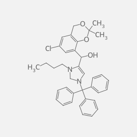 CCCCN1CN(C(c2ccccc2)(c2ccccc2)c2ccccc2)C=C1C(O)c1cc(Cl)cc2c1OC(C)(C)OC2